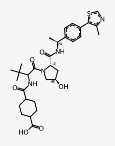 Cc1ncsc1-c1ccc([C@H](C)NC(=O)[C@@H]2C[C@@H](O)CN2C(=O)C(NC(=O)C2CCC(C(=O)O)CC2)C(C)(C)C)cc1